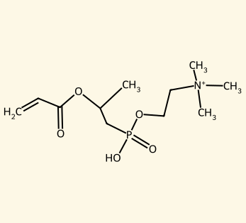 C=CC(=O)OC(C)CP(=O)(O)OCC[N+](C)(C)C